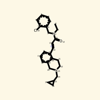 CCN(Cc1ccccc1Cl)C(=O)/C=C/c1cccc2c1CCN(CC1CC1)C2